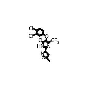 Cc1cc(-c2nc(C(F)(F)F)c(Oc3ccc(Cl)c(Cl)c3)c(=O)[nH]2)no1